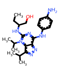 CCC(CO)Nc1nc(Nc2ccc(N)cc2)c2nnc(C(C)C)c-2n1C(C)C